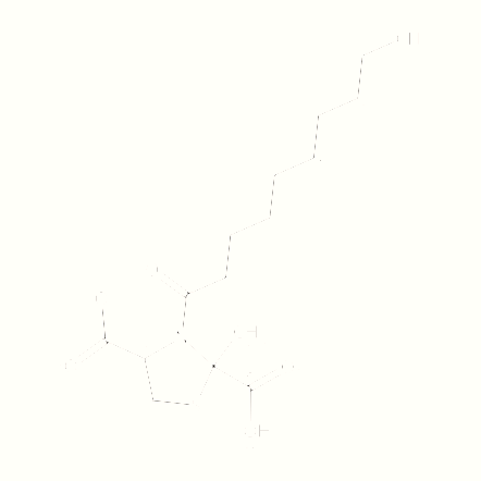 CCCCCCCCCC(=O)N1C(C(=O)O)CSC1(C)C(=O)O